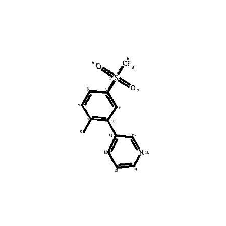 Cc1ccc(S(=O)(=O)C(F)(F)F)cc1-c1cc[c]nc1